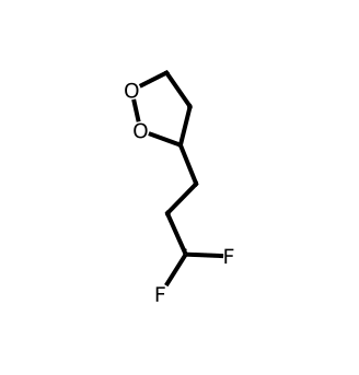 F[C](F)CCC1CCOO1